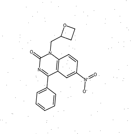 O=c1nc(-c2ccccc2)c2cc([N+](=O)[O-])ccc2n1CC1CCO1